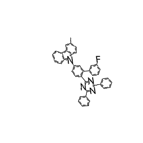 Cc1ccc2c(c1)c1ccccc1n2-c1ccc(-c2nc(-c3ccccc3)nc(-c3ccccc3)n2)c(-c2cccc(F)c2)c1